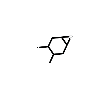 [CH2]C1CC2OC2CC1C